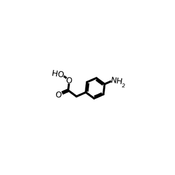 Nc1ccc(CC(=O)OO)cc1